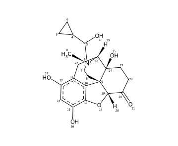 C[N@+]1(C(O)C2CC2)CC[C@]23c4c5c(O)cc(O)c4O[C@H]2C(=O)CC[C@@]3(O)[C@H]1C5